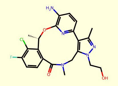 Cc1nn(CCO)c2c1-c1ccc(N)c(n1)O[C@@H](C)c1c(ccc(F)c1Cl)C(=O)N(C)C2